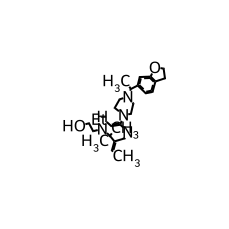 C\C=C(/C=N\C(=C\CC)N1CCN(C(C)c2ccc3c(c2)OCC3)CC1)C(C)(C)NCCO